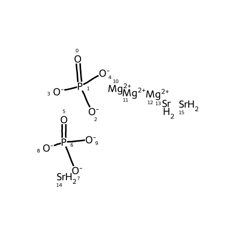 O=P([O-])([O-])[O-].O=P([O-])([O-])[O-].[Mg+2].[Mg+2].[Mg+2].[SrH2].[SrH2].[SrH2]